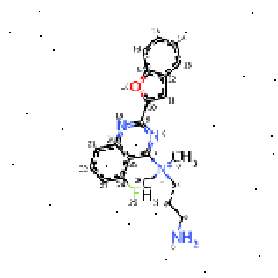 C[N+](C)(CCCN)c1nc(-c2cc3ccccc3o2)nc2cccc(F)c12